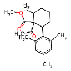 COC(=O)C1(C(C)=O)C(C)CCCC1c1c(C)cc(C)cc1C